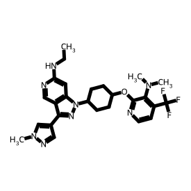 CCNc1cc2c(cn1)c(-c1cnn(C)c1)nn2C1CCC(Oc2nccc(C(F)(F)F)c2N(C)C)CC1